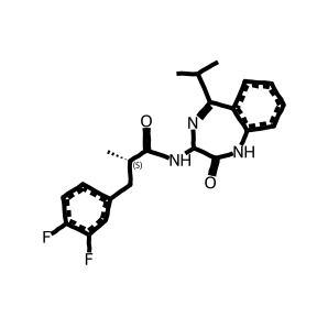 CC(C)C1=NC(NC(=O)[C@@H](C)Cc2ccc(F)c(F)c2)C(=O)Nc2ccccc21